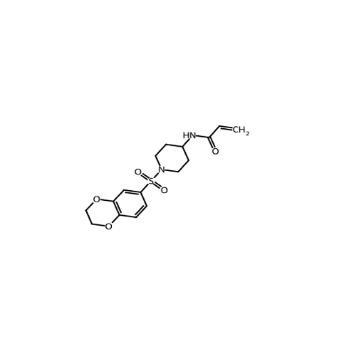 C=CC(=O)NC1CCN(S(=O)(=O)c2ccc3c(c2)OCCO3)CC1